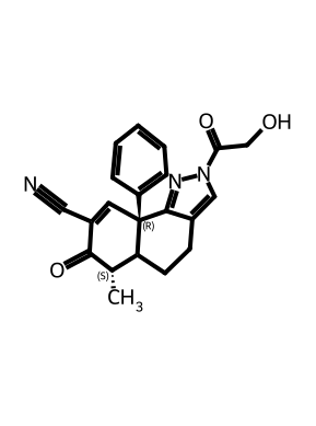 C[C@@H]1C(=O)C(C#N)=C[C@]2(c3ccccc3)c3nn(C(=O)CO)cc3CCC12